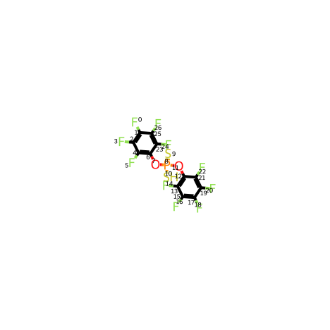 Fc1c(F)c(F)c(OP(=S)(S)Oc2c(F)c(F)c(F)c(F)c2F)c(F)c1F